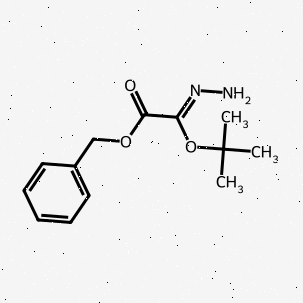 CC(C)(C)OC(=NN)C(=O)OCc1ccccc1